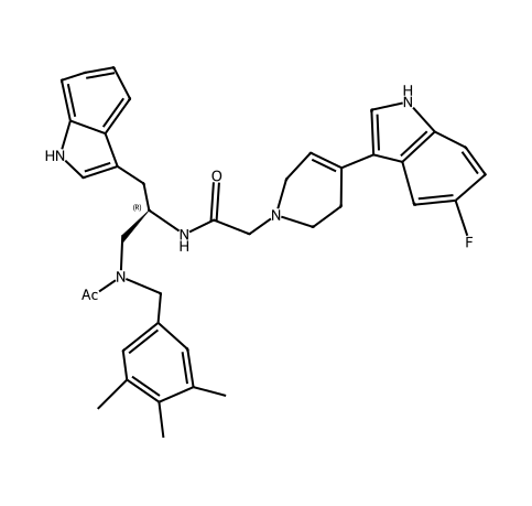 CC(=O)N(Cc1cc(C)c(C)c(C)c1)C[C@@H](Cc1c[nH]c2ccccc12)NC(=O)CN1CC=C(c2c[nH]c3ccc(F)cc23)CC1